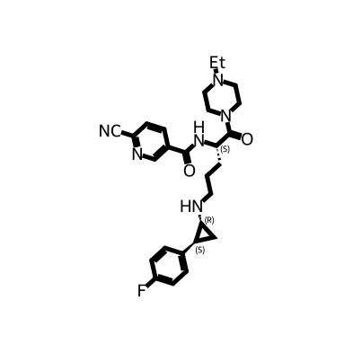 CCN1CCN(C(=O)[C@H](CCCN[C@@H]2C[C@H]2c2ccc(F)cc2)NC(=O)c2ccc(C#N)nc2)CC1